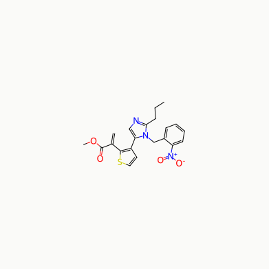 C=C(C(=O)OC)c1sccc1-c1cnc(CCC)n1Cc1ccccc1[N+](=O)[O-]